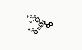 CN1CCC[C@H]1COc1nc(N2CCN(C(=O)O)[C@@H](CC#N)C2)c2ncc(C3=CCc4ccccc43)n2n1